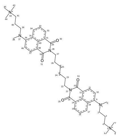 CN(CCC[N+](C)(C)C)c1ccc2c3c(cccc13)C(=O)N(CCSSCCN1C(=O)c3cccc4c(N(C)CCC[N+](C)(C)C)ccc(c34)C1=O)C2=O